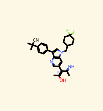 CC(=N)/C(=C(/C)O)c1cnc2c(-c3ccc(C(C)(C)C#N)cc3)cn(CC3CCC(F)(F)CC3)c2c1